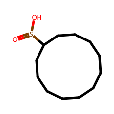 O=S(O)C1CCCCCCCCCCC1